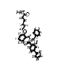 [2H]C(c1ccccc1)N(Cc1ccccc1OCCCCCC(=O)O)C(=O)c1ccc(-c2cccs2)cc1